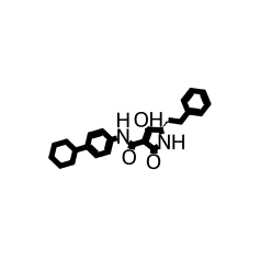 O=C(Nc1ccc(C2CCCCC2)cc1)C1=C(O)[C@H](CCc2ccccc2)NC1=O